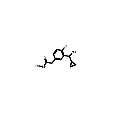 CCNC(=O)Cc1ccc(Cl)c(C(N)C2CC2)c1